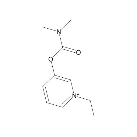 CC[n+]1cccc(OC(=O)N(C)C)c1